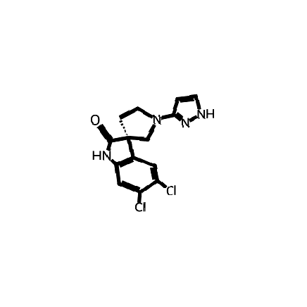 O=C1Nc2cc(Cl)c(Cl)cc2[C@@]12CCN(c1cc[nH]n1)C2